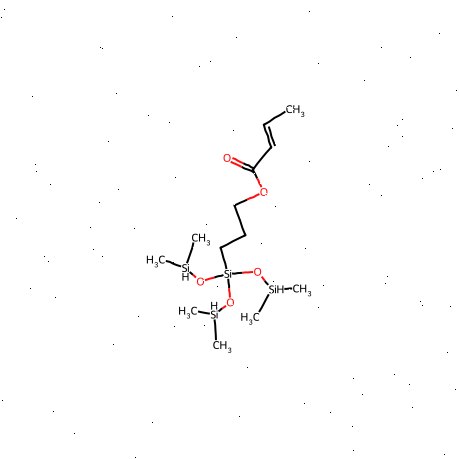 CC=CC(=O)OCCC[Si](O[SiH](C)C)(O[SiH](C)C)O[SiH](C)C